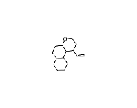 C=CC1CCOC2CCC3CCCCC3C12